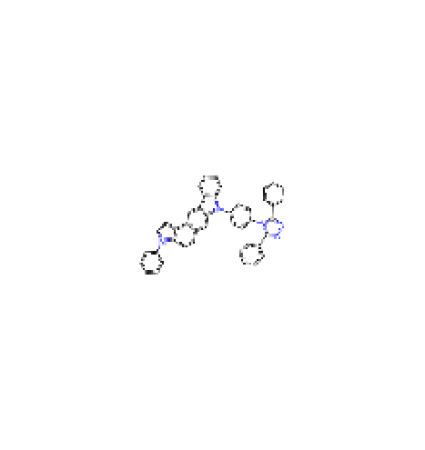 c1ccc(-c2nnc(-c3ccccc3)n2-c2ccc(-n3c4ccccc4c4cc5c(ccc6c5ccn6-c5ccccc5)cc43)cc2)cc1